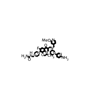 COc1cc(CN(Cc2cn3c4c(c(N5CCN(CNC(N)=O)CC5)c(F)cc4c2=O)OCC3C)[C@H]2CCCN(c3ccc(N)nc3)C2)ccn1